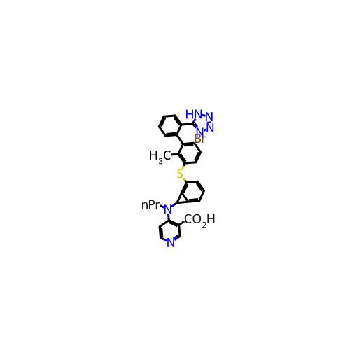 CCCN(c1ccncc1C(=O)O)C1c2cccc(Sc3ccc(Br)c(-c4ccccc4-c4nnn[nH]4)c3C)c21